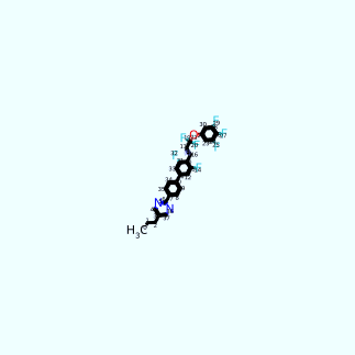 CCCc1cnc(-c2ccc(-c3cc(F)c(/C=C/C(F)(F)Oc4cc(F)c(F)c(F)c4)c(F)c3)cc2)nc1